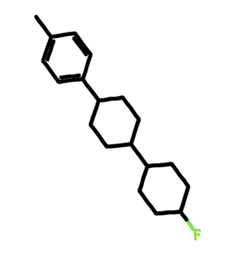 Cc1ccc(C2CCC(C3CCC(F)CC3)CC2)cc1